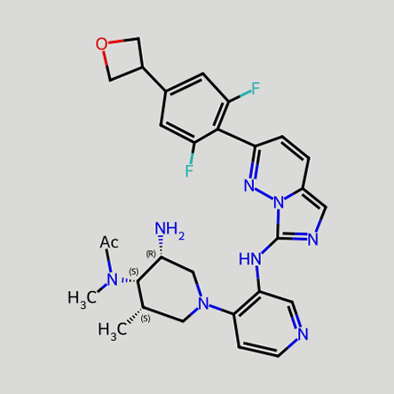 CC(=O)N(C)[C@@H]1[C@H](N)CN(c2ccncc2Nc2ncc3ccc(-c4c(F)cc(C5COC5)cc4F)nn23)C[C@@H]1C